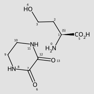 N[C@@H](CCO)C(=O)O.O=C1NCCNC1=O